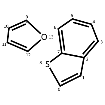 [c]1cc2ccccc2s1.[c]1ccco1